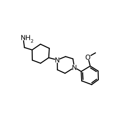 COc1ccccc1N1CCN(C2CCC(CN)CC2)CC1